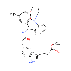 Cc1cccc(C(NC(=O)Cc2ccc3[nH]cc(CCC(=O)OC(C)(C)C)c3c2)c2ccccc2N2CCCCC2)c1